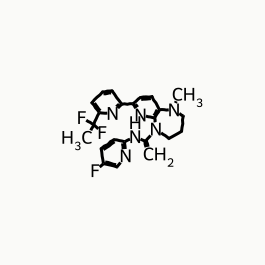 C=C(Nc1ccc(F)cn1)N1CCCN(C)c2ccc(-c3cccc(C(C)(F)F)n3)nc21